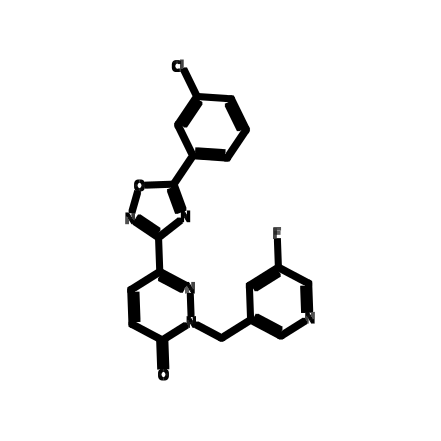 O=c1ccc(-c2noc(-c3cccc(Cl)c3)n2)nn1Cc1cncc(F)c1